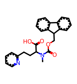 CN(C(=O)OCC1c2ccccc2-c2ccccc21)C(CCc1ccccn1)C(=O)O